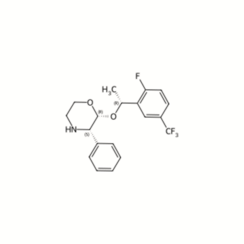 C[C@@H](O[C@H]1OCCN[C@H]1c1ccccc1)c1cc(C(F)(F)F)ccc1F